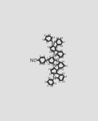 N#Cc1ccc(-c2cc3c4c(c2)-n2c5ccc6c(c7ccccc7n6-c6ccccc6)c5c5cccc(c52)B4c2cccc4c5c6c7ccccc7n(-c7ccccc7)c6ccc5n-3c24)cc1